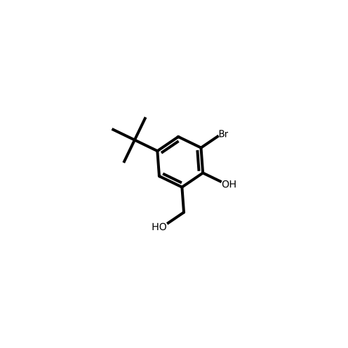 CC(C)(C)c1cc(Br)c(O)c(CO)c1